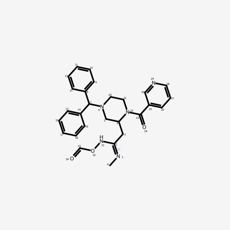 C/N=C(/CC1CN(C(c2ccccc2)c2ccccc2)CCN1C(=O)c1cccnc1)NOC=O